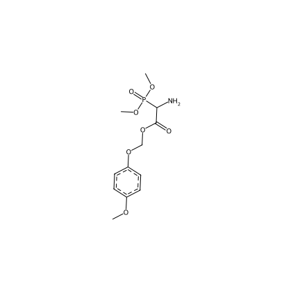 COc1ccc(OCOC(=O)C(N)P(=O)(OC)OC)cc1